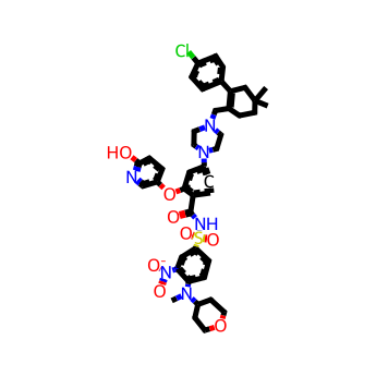 CN(c1ccc(S(=O)(=O)NC(=O)c2ccc(N3CCN(CC4=C(c5ccc(Cl)cc5)CC(C)(C)CC4)CC3)cc2Oc2ccc(O)nc2)cc1[N+](=O)[O-])C1CCOCC1